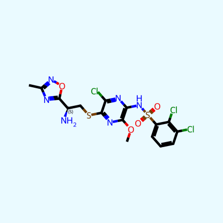 COc1nc(SC[C@@H](N)c2nc(C)no2)c(Cl)nc1NS(=O)(=O)c1cccc(Cl)c1Cl